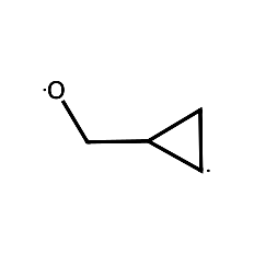 [O]CC1[CH]C1